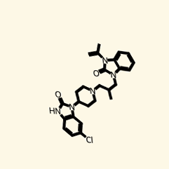 C=C(C)n1c(=O)n(CC(C)CN2CCC(n3c(=O)[nH]c4ccc(Cl)cc43)CC2)c2ccccc21